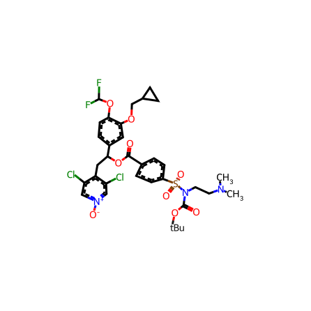 CN(C)CCN(C(=O)OC(C)(C)C)S(=O)(=O)c1ccc(C(=O)OC(Cc2c(Cl)c[n+]([O-])cc2Cl)c2ccc(OC(F)F)c(OCC3CC3)c2)cc1